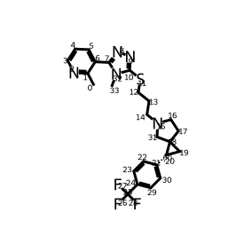 Cc1ncccc1-c1nnc(SCCCN2CCC3(C[C@@H]3c3ccc(C(F)(F)F)cc3)C2)n1C